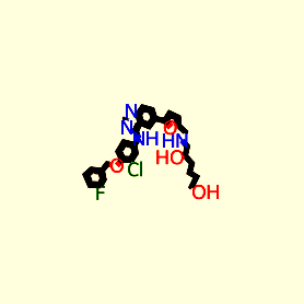 OCCCCC(O)CNCc1ccc(-c2ccc3ncnc(Nc4ccc(OCc5cccc(F)c5)c(Cl)c4)c3c2)o1